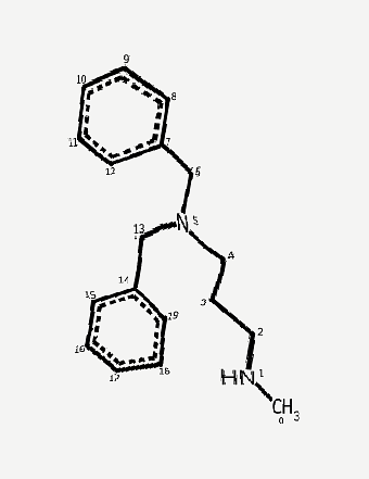 CNCCCN([CH]c1ccccc1)[CH]c1ccccc1